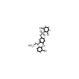 CCc1ccccc1Oc1ccc(CS(=O)(=O)c2c(Cl)cccc2Cl)nc1CCC(=O)O